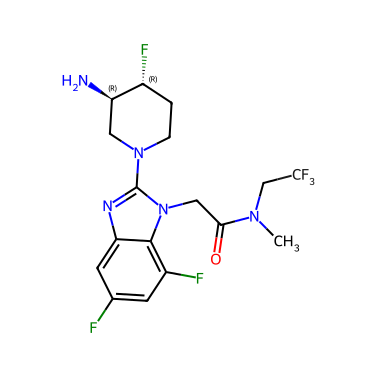 CN(CC(F)(F)F)C(=O)Cn1c(N2CC[C@@H](F)[C@H](N)C2)nc2cc(F)cc(F)c21